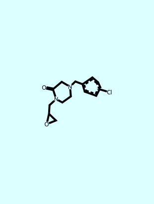 O=C1CN(Cc2ccc(Cl)cc2)CCN1CC1CO1